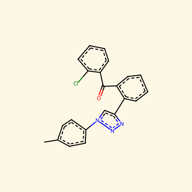 Cc1ccc(-n2cc(-c3ccccc3C(=O)c3ccccc3Cl)nn2)cc1